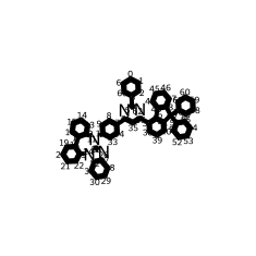 c1ccc(-c2nc(-c3ccc(N4c5ccccc5-c5ccccc5-n5c4nc4ccccc45)cc3)cc(-c3cccc4c3-c3ccccc3C4(c3ccccc3)c3ccccc3)n2)cc1